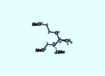 COCCO[C@@H](C)[C@@H](COC)OC